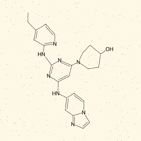 CCc1ccnc(Nc2nc(Nc3ccn4ccnc4c3)cc(N3CCC(O)CC3)n2)c1